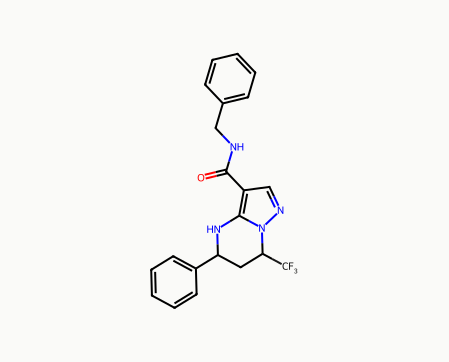 O=C(NCc1ccccc1)c1cnn2c1NC(c1ccccc1)CC2C(F)(F)F